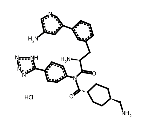 Cl.NC[C@H]1CC[C@H](C(=O)N(C(=O)[C@@H](N)Cc2cccc(-c3cncc(N)c3)c2)c2ccc(-c3nnn[nH]3)cc2)CC1